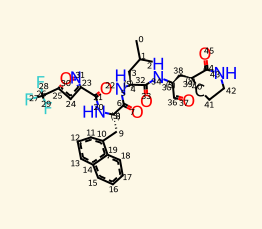 CC(C)C[C@H](NC(=O)[C@H](Cc1cccc2ccccc12)NC(=O)c1cc(C(F)(F)F)on1)C(=O)N[C@H](C=O)C[C@@H]1CCCNC1=O